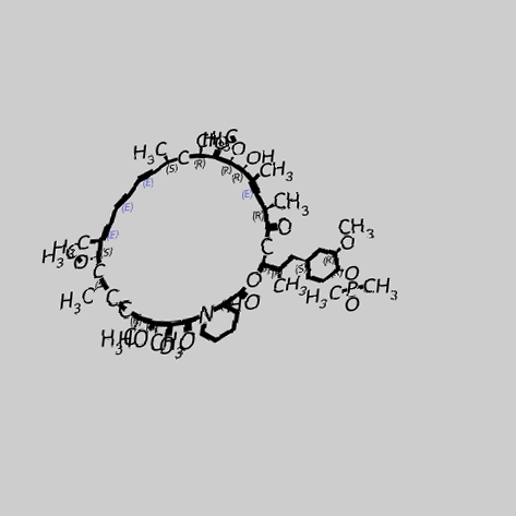 CO[C@H]1C[C@@H](C)CC[C@@H](C)[C@](C)(O)C(=O)C(=O)N2CCCC[C@H]2C(=O)O[C@H]([C@H](C)C[C@@H]2CC[C@@H](OP(C)(C)=O)[C@H](OC)C2)CC(=O)[C@H](C)/C=C(\C)[C@@H](O)[C@@H](OC)C(=O)[C@H](C)C[C@H](C)/C=C/C=C/C=C/1C